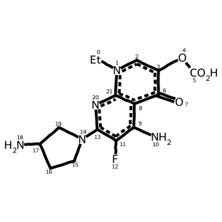 CCn1cc(OC(=O)O)c(=O)c2c(N)c(F)c(N3CCC(N)C3)nc21